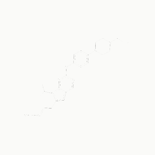 CCC(CC)n1c(CC=NOC)cc2cnc(Nc3ccc(N4CCN(CC=O)CC4)cc3)nc21